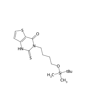 CC(C)(C)[Si](C)(C)OCCCCn1c(=S)[nH]c2ccsc2c1=O